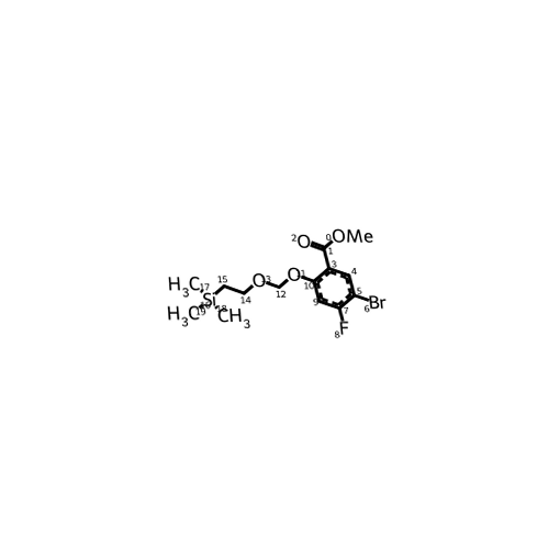 COC(=O)c1cc(Br)c(F)cc1OCOCC[Si](C)(C)C